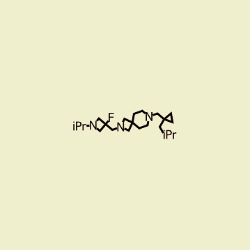 CC(C)CC1(CN2CCC3(CC2)CN(CC2(F)CN(C(C)C)C2)C3)CC1